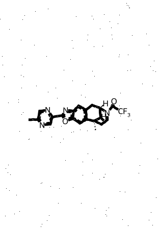 Cc1cnc(-c2nc3cc4c(cc3o2)[C@]2(C)CCN(C(=O)C(F)(F)F)[C@H](C4)[C@H]2C)cn1